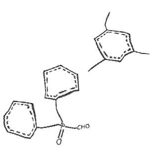 Cc1cc(C)cc(C)c1.O=CP(=O)(c1ccccc1)c1ccccc1